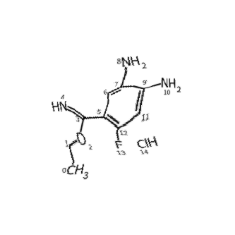 CCOC(=N)c1cc(N)c(N)cc1F.Cl